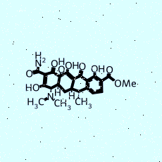 COC(=O)c1ccc2c(c1O)C(=O)C1=C(O)[C@]3(O)C(=O)C(C(N)=O)=C(O)[C@@H](N(C)C)[C@@H]3C[C@@H]1[C@H]2C